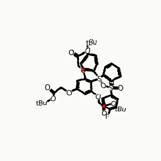 CC(C)(C)OC(=O)COc1cc(OCC(=O)OC(C)(C)C)c(S(OS(=O)(=O)c2ccc(F)cc2)(c2ccccc2)c2ccccc2)c(OCC(=O)OC(C)(C)C)c1